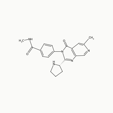 CNC(=O)c1ccc(-n2c([C@@H]3CCCN3)nc3cnc(C)cc3c2=O)cc1